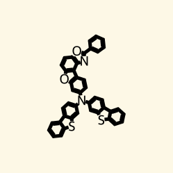 c1ccc(-c2nc3c(ccc4oc5cc(N(c6ccc7c(c6)sc6ccccc67)c6ccc7c(c6)sc6ccccc67)ccc5c43)o2)cc1